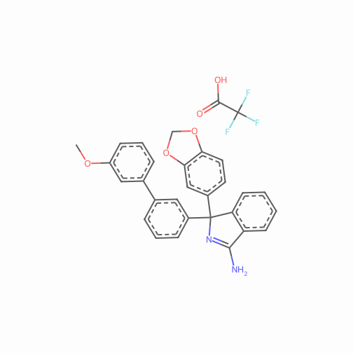 COc1cccc(-c2cccc(C3(c4ccc5c(c4)OCO5)N=C(N)c4ccccc43)c2)c1.O=C(O)C(F)(F)F